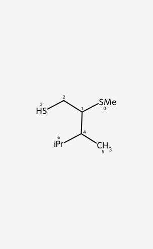 CSC(CS)C(C)C(C)C